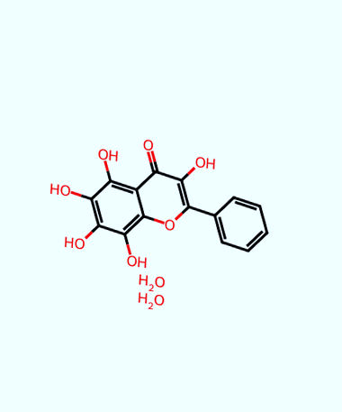 O.O.O=c1c(O)c(-c2ccccc2)oc2c(O)c(O)c(O)c(O)c12